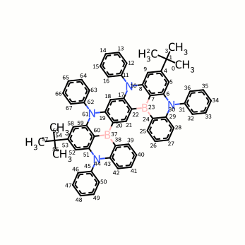 CC(C)(C)c1cc2c3c(c1)N(c1ccccc1)c1cc4c(cc1B3c1ccccc1N2c1ccccc1)B1c2ccccc2N(c2ccccc2)c2cc(C(C)(C)C)cc(c21)N4c1ccccc1